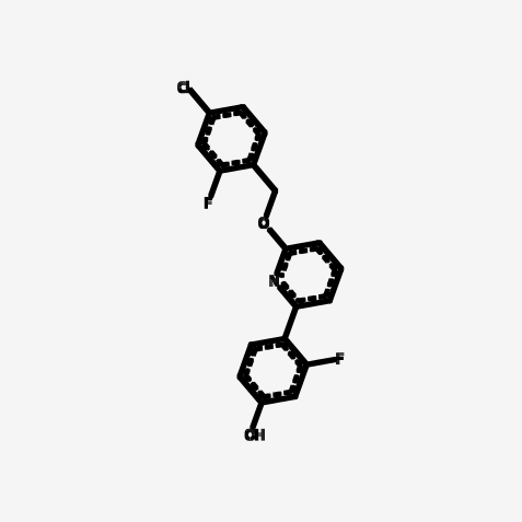 Oc1ccc(-c2cccc(OCc3ccc(Cl)cc3F)n2)c(F)c1